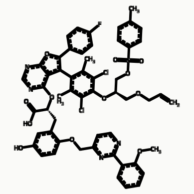 C=CCOC[C@H](COS(=O)(=O)c1ccc(C)cc1)Oc1c(Cl)c(C)c(-c2c(-c3ccc(F)cc3)oc3ncnc(O[C@H](Cc4cc(O)ccc4OCc4ccnc(-c5ccccc5OC)n4)C(=O)O)c23)c(C)c1Cl